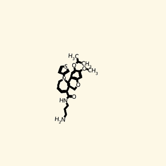 COc1cc2c(cc1OC(C)C)C1=C(CO2)C(C(=O)NCCCN)=C=CCN1c1ccsc1